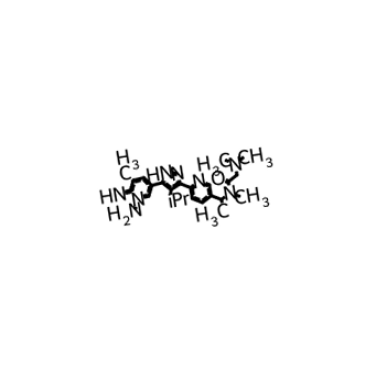 Cc1cc(-c2[nH]nc(-c3ccc(C(C)N(C)C(=O)CN(C)C)cn3)c2C(C)C)cn(N)c1=N